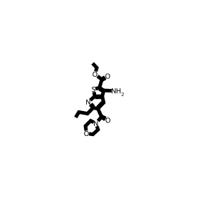 CCCc1nc2sc(C(=O)OCC)c(N)c2cc1C(=O)N1CCOCC1